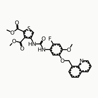 COC(=O)c1scc(NC(=O)Nc2cc(OCc3cccc4cccnc34)c(OC)cc2F)c1C(=O)OC